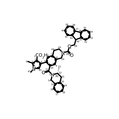 Cc1c(C(=O)O)c(-c2cc3c(cc2C(=O)N2Cc4ccccc4C[C@H]2C)CN(C(=O)OCC2c4ccccc4-c4ccccc42)CC3)cn1C